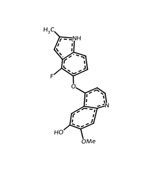 COc1cc2nccc(Oc3ccc4[nH]c(C)cc4c3F)c2cc1O